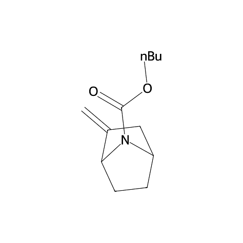 C=C1CC2CCC1N2C(=O)OCCCC